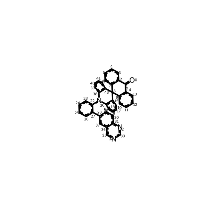 O=C1c2ccccc2C2(c3ccccc31)c1ccccc1N(c1ccccc1-c1ccc3ncncc3c1)c1ccccc12